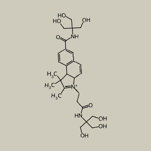 CC1=[N+](CCC(=O)NC(CO)(CO)CO)C2C=Cc3cc(C(=O)NC(CO)(CO)CO)ccc3C2C1(C)C